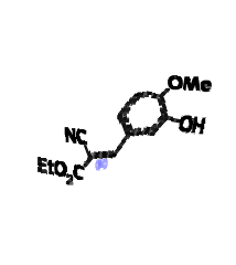 CCOC(=O)/C(C#N)=C/c1ccc(OC)c(O)c1